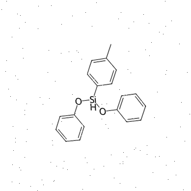 Cc1ccc([SiH](Oc2ccccc2)Oc2ccccc2)cc1